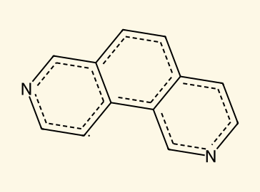 [c]1cncc2ccc3ccncc3c12